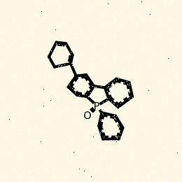 O=P1(c2ccccc2)c2ccccc2-c2cc(C3=CC=CCC3)ccc21